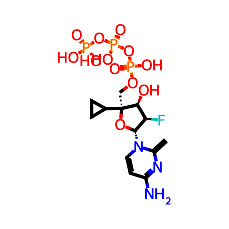 C=C1N=C(N)C=CN1[C@@H]1O[C@@](COP(=O)(O)OP(=O)(O)OP(=O)(O)O)(C2CC2)[C@@H](O)[C@H]1F